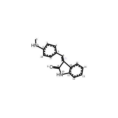 CNc1ccc(/C=C2\C(=O)Nc3ccccc32)cc1